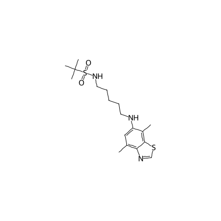 Cc1cc(NCCCCCNS(=O)(=O)C(C)(C)C)c(C)c2scnc12